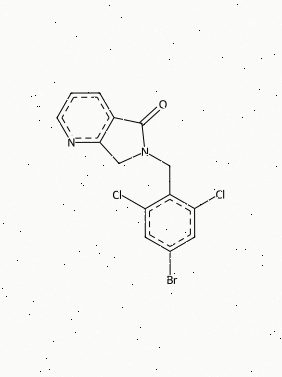 O=C1c2cccnc2CN1Cc1c(Cl)cc(Br)cc1Cl